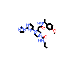 CCCNC(=O)N1CCN(c2ccnc(-n3ccnc3)n2)C(CC(=O)NC(C)c2ccc(OC)cc2)C1